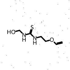 C=COCCNC(=S)NCO